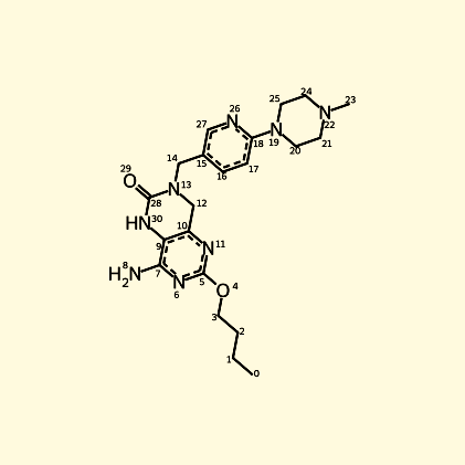 CCCCOc1nc(N)c2c(n1)CN(Cc1ccc(N3CCN(C)CC3)nc1)C(=O)N2